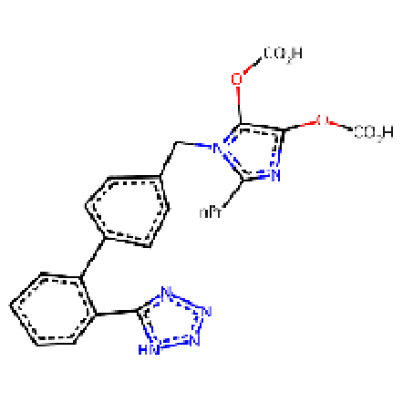 CCCc1nc(OC(=O)O)c(OC(=O)O)n1Cc1ccc(-c2ccccc2-c2nnn[nH]2)cc1